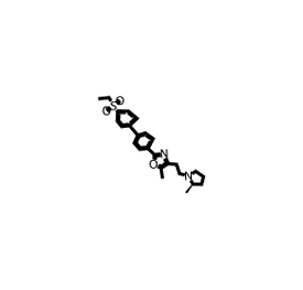 CCS(=O)(=O)c1ccc(-c2ccc(-c3nc(CCN4CCC[C@H]4C)c(C)o3)cc2)cc1